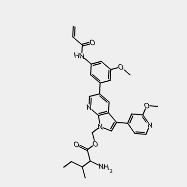 C=CC(=O)Nc1cc(OC)cc(-c2cnc3c(c2)c(-c2ccnc(OC)c2)cn3COC(=O)C(N)C(C)CC)c1